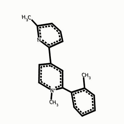 Cc1cccc(-c2cc[n+](C)c(-c3ccccc3C)c2)n1